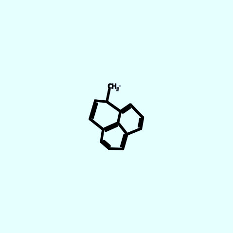 [CH2]C1C=Cc2cccc3cccc1c23